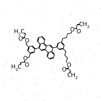 C=CC(=O)OCCCCc1cc(CCCCOC(=O)C=C)cc(-c2cc3c4ccccc4c(-c4cc(COC(=O)C=C)cc(COC(=O)C=C)c4)cc3c3ccccc23)c1